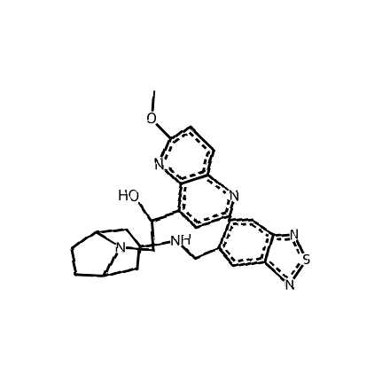 COc1ccc2nccc(C(O)CN3C4CCC3CC(NCc3ccc5nsnc5c3)C4)c2n1